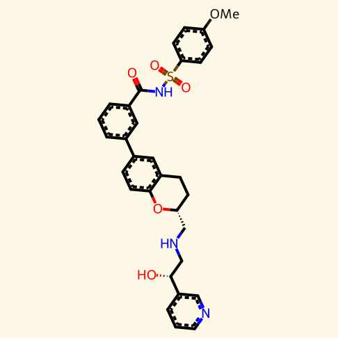 COc1ccc(S(=O)(=O)NC(=O)c2cccc(-c3ccc4c(c3)CC[C@H](CNC[C@@H](O)c3cccnc3)O4)c2)cc1